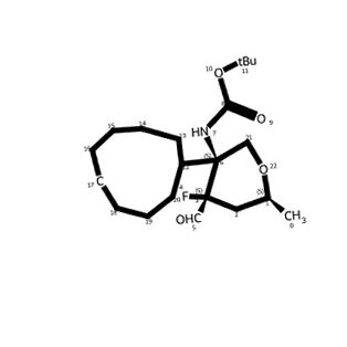 C[C@H]1C[C@@](F)(C=O)[C@](NC(=O)OC(C)(C)C)(C2CCCCCCCC2)CO1